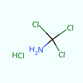 Cl.NC(Cl)(Cl)Cl